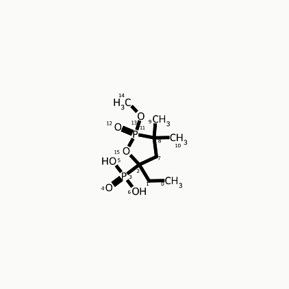 CCC1(P(=O)(O)O)CC(C)(C)P(=O)(OC)O1